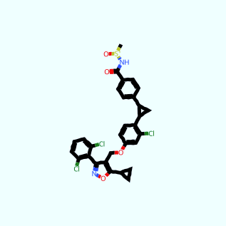 C[S+]([O-])NC(=O)c1ccc(C2CC2c2ccc(OCc3c(-c4c(Cl)cccc4Cl)noc3C3CC3)cc2Cl)cc1